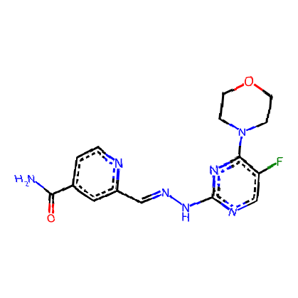 NC(=O)c1ccnc(/C=N/Nc2ncc(F)c(N3CCOCC3)n2)c1